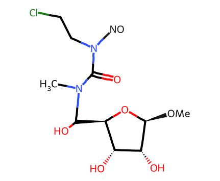 CO[C@@H]1O[C@H](C(O)N(C)C(=O)N(CCCl)N=O)[C@@H](O)[C@H]1O